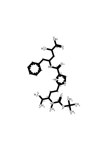 CC(CC(Cc1ccccc1)NC(=O)c1csc(CCC(C(C)C)N(C)C(=O)OC(C)(C)C)n1)C(=O)O